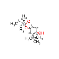 CCC(C)(C)C(=O)Oc1ccc(O)c(C(C)(C)C)c1